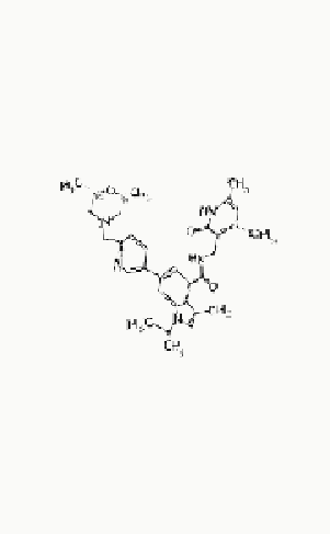 Cc1cc(C)c(CNC(=O)c2cc(-c3ccc(CN4C[C@@H](C)O[C@@H](C)C4)nc3)cc3c2c(C)cn3C(C)C)c(=O)[nH]1